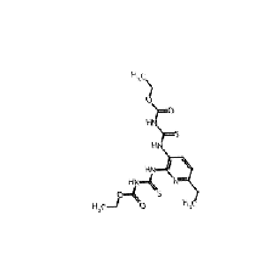 CCOC(=O)NC(=S)Nc1ccc(CC)nc1NC(=S)NC(=O)OCC